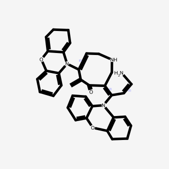 C=C1C(=O)/C(=C(/C=C\N)N2C3=C(CCC=C3)Oc3ccccc32)CNC/C=C\1N1C2=CCCC=C2Oc2ccccc21